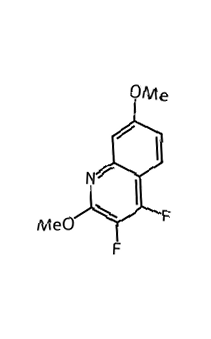 COc1ccc2c(F)c(F)c(OC)nc2c1